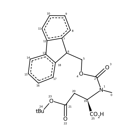 CN(C(=O)OCC1c2ccccc2-c2ccccc21)[C@H](CC(=O)OC(C)(C)C)C(=O)O